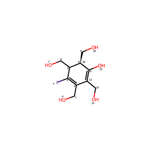 OCC1=C(I)C(CO)[C@@H](CO)C(O)=C1CO